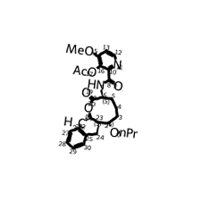 CCCO[C@H]1CCC[C@H](NC(=O)c2nccc(OC)c2OC(C)=O)C(=O)O[C@@H](C)[C@@H]1Cc1ccccc1